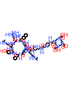 CC(C)NCCCCC1NC(=O)C(Cc2ccc(O)cc2)NC(=O)C(Cc2ccccc2)NC(=O)CC[C@H](C(=O)NC(CCCCNC(C)C)C(=O)NC(CCCCNC(=O)CN2CCC(NC(=O)CN3CCN(CC(=O)O)CCN(CC(=O)O)CCN(CC(=O)O)CC3)CC2)C(N)=O)NC(=O)CNC(=O)C(Cc2ccc3ccccc3c2)NC(=O)[C@@H](CCCNC(=N)N)NC1=O